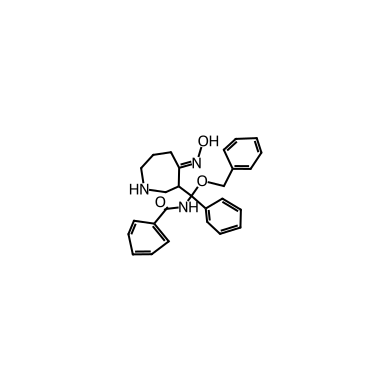 O=C(NC(OCc1ccccc1)(c1ccccc1)C1CNCCCC1=NO)c1ccccc1